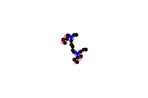 c1ccc2cc(-c3ccc(-c4nc(-c5ccc6ccc(-c7ccc8cc(-c9ccc(-c%10nc(-c%11ccc%12ccccc%12c%11)nc(-c%11cccc%12oc%13c(-c%14cccc%15oc%16ccccc%16c%14%15)cccc%13c%11%12)n%10)cc9)ccc8c7)cc6c5)nc(-c5cc(-c6cccc7sc8ccccc8c67)cc6oc7ccccc7c56)n4)cc3)ccc2c1